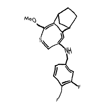 COc1ncc(Nc2ccc(F)c(F)c2)c2c1C1CCC2C1